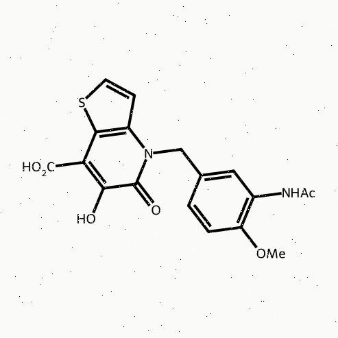 COc1ccc(Cn2c(=O)c(O)c(C(=O)O)c3sccc32)cc1NC(C)=O